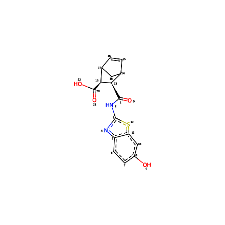 O=C(Nc1nc2ccc(O)cc2s1)[C@@H]1C2C=CC(C2)[C@@H]1C(=O)O